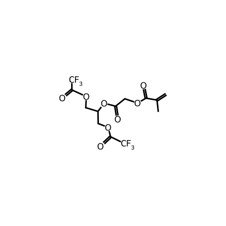 C=C(C)C(=O)OCC(=O)OC(COC(=O)C(F)(F)F)COC(=O)C(F)(F)F